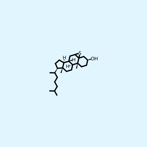 CC(C)CCCC(C)[C@H]1CC[C@H]2[C@@H]3CC4SC45C[C@@H](O)CC[C@]5(C)[C@H]3CC[C@]12C